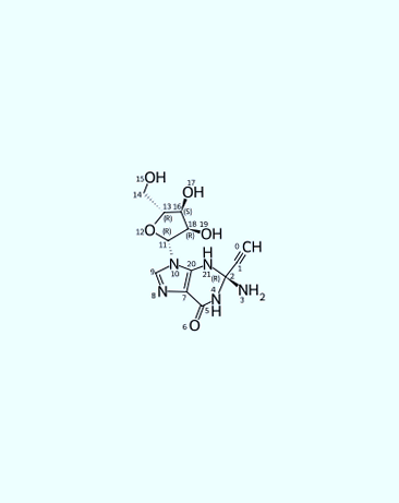 C#C[C@]1(N)NC(=O)c2ncn([C@@H]3O[C@H](CO)[C@@H](O)[C@H]3O)c2N1